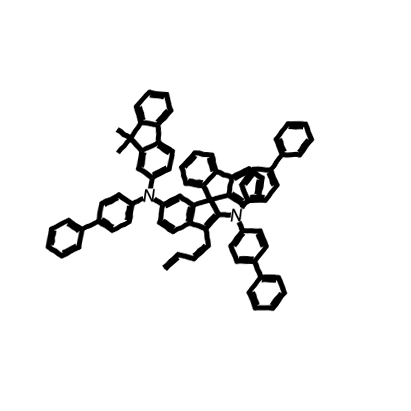 C=C/C=C\C1=C(N(c2ccc(-c3ccccc3)cc2)c2ccc(-c3ccccc3)cc2)C2(c3cc(N(c4ccc(-c5ccccc5)cc4)c4ccc5c(c4)C(C)(C)c4ccccc4-5)ccc31)c1ccccc1-c1ccccc12